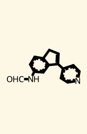 O=CNc1ccc2c(c1)C(c1ccncc1)=CC2